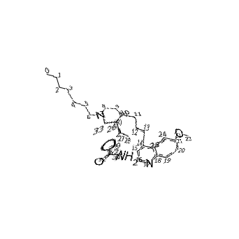 CCCCCCCN1CC[C@@H](CCCc2ccnc3ccc(OC)cc23)[C@@H](C(C)OC(N)=O)C1